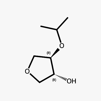 CC(C)O[C@@H]1COC[C@H]1O